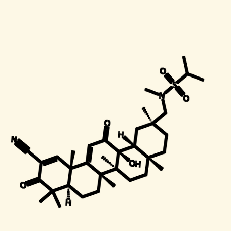 CC(C)S(=O)(=O)N(C)C[C@@]1(C)CC[C@]2(C)CC[C@@]3(C)[C@]4(C)CC[C@H]5C(C)(C)C(=O)C(C#N)=C[C@]5(C)C4=CC(=O)[C@]3(O)[C@@H]2C1